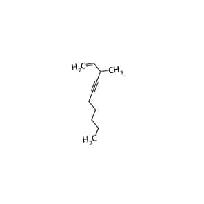 C=CC(C)C#CCCCCC